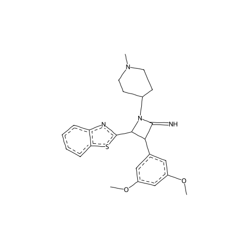 COc1cc(OC)cc(C2C(=N)N(C3CCN(C)CC3)C2c2nc3ccccc3s2)c1